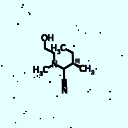 CC[C@@H](C)C(C#N)N(C)CCO